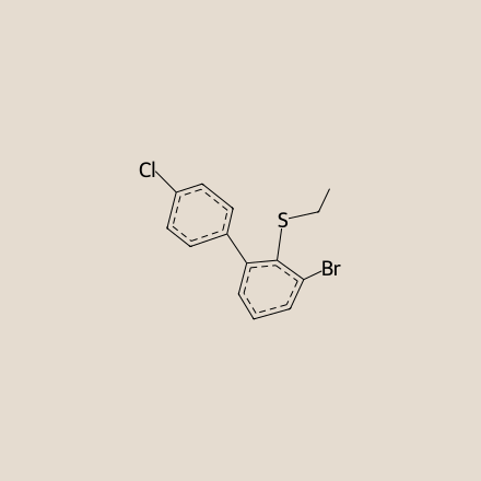 CCSc1c(Br)cccc1-c1ccc(Cl)cc1